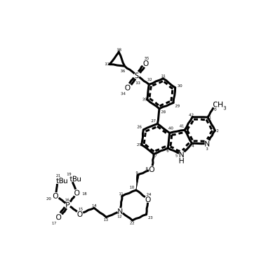 Cc1cnc2[nH]c3c(OC[C@@H]4CN(CCOP(=O)(OC(C)(C)C)OC(C)(C)C)CCO4)ccc(-c4cccc(S(=O)(=O)C5CC5)c4)c3c2c1